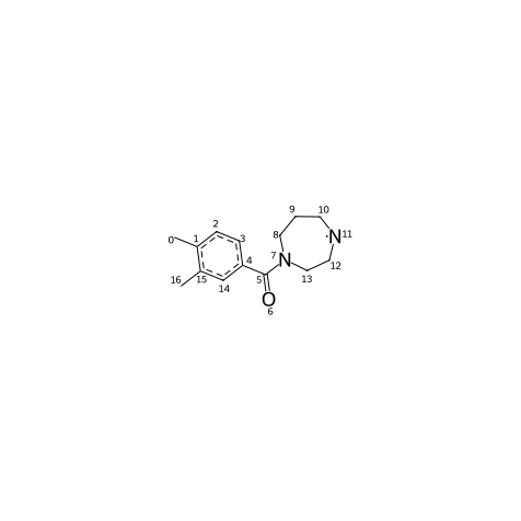 Cc1ccc(C(=O)N2CCC[N]CC2)cc1C